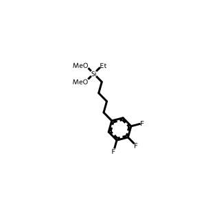 CC[Si](CCCCc1cc(F)c(F)c(F)c1)(OC)OC